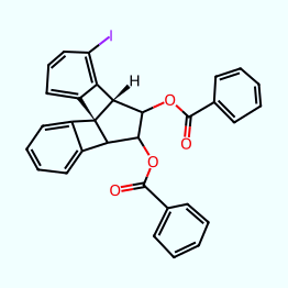 O=C(OC1C(OC(=O)c2ccccc2)[C@H]2c3c(I)cccc3[C@@]23c2ccccc2C13)c1ccccc1